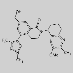 COc1cc2c(nc1C)CCCC2N1CCc2c(cc(CO)cc2-c2cn(C)nc2C(F)(F)F)C1=O